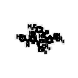 Cc1ccc(C(=O)Nc2cccc(N(C)C)c2)cc1Nc1nc(N[C@H]2CCNC2)nc(N(C)CC(C)C)n1